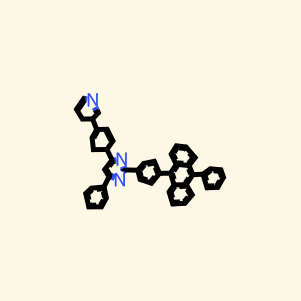 C1=CN=CC(C2=CCC(c3cc(-c4ccccc4)nc(-c4ccc(-c5c6ccccc6c(-c6ccccc6)c6ccccc56)cc4)n3)C=C2)C1